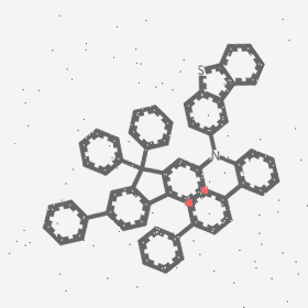 c1ccc(-c2ccc(-c3ccccc3N(c3ccc4c(c3)C(c3ccccc3)(c3ccccc3)c3cc(-c5ccccc5)ccc3-4)c3ccc4sc5ccccc5c4c3)cc2)cc1